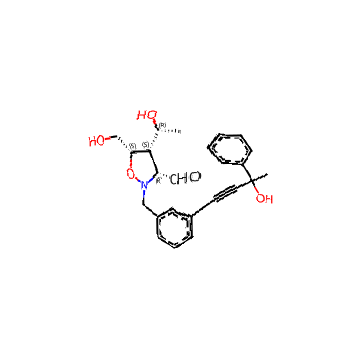 C[C@@H](O)[C@H]1[C@@H](CO)ON(Cc2cccc(C#CC(C)(O)c3ccccc3)c2)[C@H]1C=O